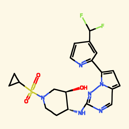 O=S(=O)(C1CC1)N1CC[C@@H](Nc2ncc3ccc(-c4cc(C(F)F)ccn4)n3n2)[C@H](O)C1